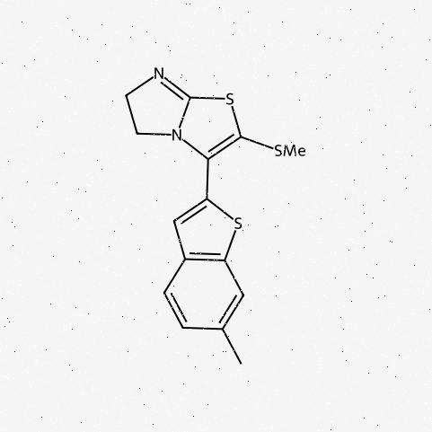 CSC1=C(c2cc3ccc(C)cc3s2)N2CCN=C2S1